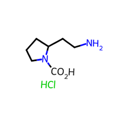 Cl.NCCC1CCCN1C(=O)O